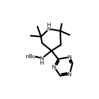 CCCCNC1(c2ncncn2)CC(C)(C)NC(C)(C)C1